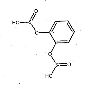 O=S(O)Oc1ccccc1OS(=O)O